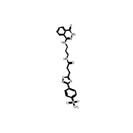 CS(=O)(=O)c1ccc(-c2noc(CCC(=O)NCCCNc3n[nH]c(=O)c4ccccc34)n2)cc1